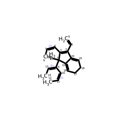 C=CC1=C(/C=C\C)C(P)(C(/C=C\C)=C/C)C2=CCCC=C21